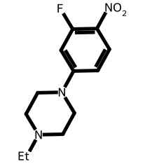 CCN1CCN(c2ccc([N+](=O)[O-])c(F)c2)CC1